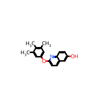 Cc1cc(Oc2ccc3cc(O)ccc3n2)cc(C)c1C